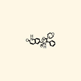 O=C([C@H](NS(=O)(=O)c1ccc2[nH]c(=O)ccc2c1)c1ccccc1)N1CCOCC1